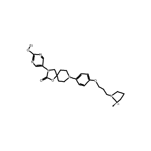 CCOc1ncc(N2CC3(CCN(c4ccc(OCCCN5CCC[C@H]5C)cc4)CC3)OC2=O)cn1